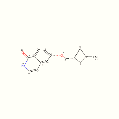 CC1CC(COc2ccc3c(=O)[nH]ccc3c2)C1